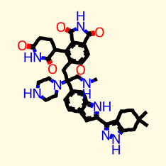 CNC(=O)C(Cc1ccc2c(c1C1CCC(=O)NC1=O)C(=O)NC2=O)(c1ccc2cc(-c3n[nH]c4c3CCC(C)(C)C4)[nH]c2c1)N1CCNCC1